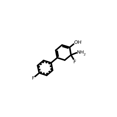 NC1(F)CC(c2ccc(F)cc2)=CC=C1O